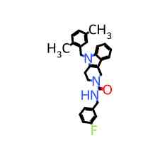 Cc1ccc(C)c(Cn2c3c(c4ccccc42)CN(C(=O)NCc2cccc(F)c2)CC3)c1